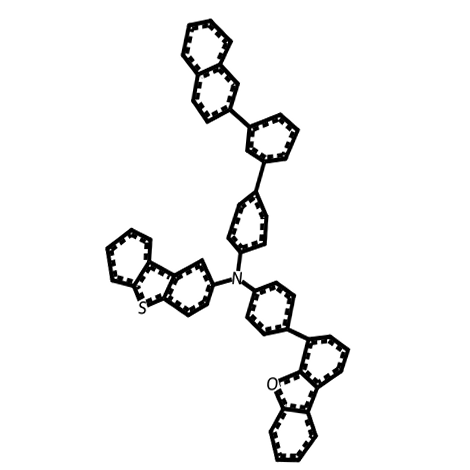 c1cc(-c2ccc(N(c3ccc(-c4cccc5c4oc4ccccc45)cc3)c3ccc4sc5ccccc5c4c3)cc2)cc(-c2ccc3ccccc3c2)c1